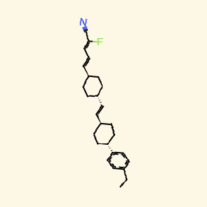 CCc1ccc([C@H]2CC[C@H](C=C[C@H]3CC[C@H](C=CC=C(F)C#N)CC3)CC2)cc1